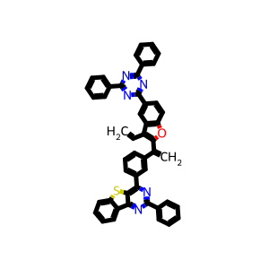 C=Cc1c(C(=C)c2cccc(-c3nc(-c4ccccc4)nc4c3sc3ccccc34)c2)oc2ccc(-c3nc(-c4ccccc4)nc(-c4ccccc4)n3)cc12